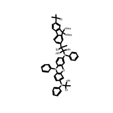 CCCCCCC1(CCCCCC)c2cc(C(C)(C)CC)ccc2-c2ccc(C(C)(CC)C(CCC)(CCC)N(c3ccccc3)c3ccc4c(c3)Oc3cc(N(c5ccccc5)C(C)(CC)CCC)ccc3N4c3ccccc3)cc21